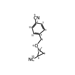 N#Cc1ccc(CON2CC2C#N)cc1